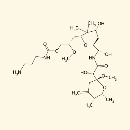 C=C1C[C@](OC)([C@H](O)C(=O)N[C@@H](O)[C@@H]2C[C@@H](O)C(C)(C)[C@@H](C[C@@H](COC(=O)NCCCN)OC)O2)O[C@H](C)[C@@H]1C